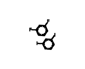 Fc1cccc(F)c1.Ic1cccc(I)c1